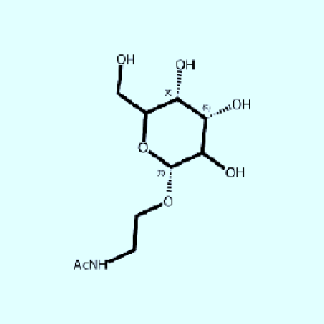 CC(=O)NCCO[C@@H]1OC(CO)[C@H](O)[C@H](O)C1O